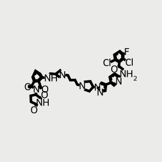 CC(Oc1cc(-c2cnn(C3CCN(CCCCN4CC(CNc5cccc6c5C(=O)N(C5CCC(=O)NC5=O)C6=O)C4)CC3)c2)cnc1N)c1c(Cl)ccc(F)c1Cl